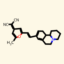 CC1=CC(=C(C#N)C#N)C=C(C=CC2=CCC3C(=C2)CCN2CCCCC32)O1